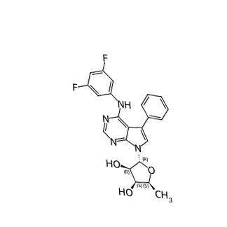 C[C@@H]1O[C@@H](n2cc(-c3ccccc3)c3c(Nc4cc(F)cc(F)c4)ncnc32)[C@H](O)[C@@H]1O